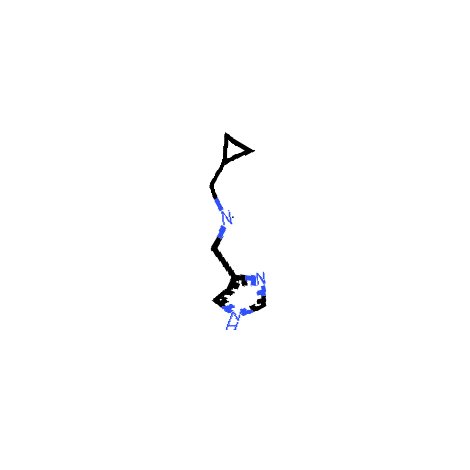 c1nc(C[N]CC2CC2)c[nH]1